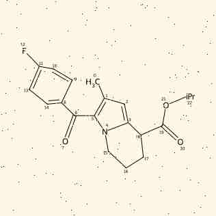 Cc1cc2n(c1C(=O)c1ccc(F)cc1)CCCC2C(=O)OC(C)C